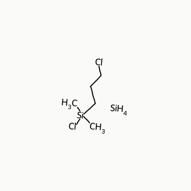 C[Si](C)(Cl)CCCCl.[SiH4]